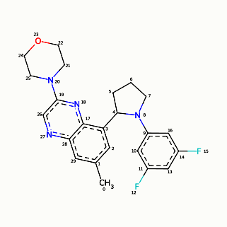 Cc1cc(C2CCCN2c2cc(F)cc(F)c2)c2nc(N3CCOCC3)cnc2c1